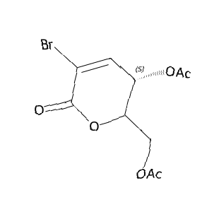 CC(=O)OCC1OC(=O)C(Br)=C[C@@H]1OC(C)=O